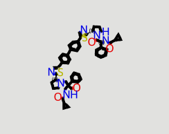 O=CC(CNC(=O)C1CC1)(CN1CCC[C@H]1c1ncc(-c2ccc(-c3ccc(-c4cnc([C@@H]5CCCN5C(=O)[C@H](NC(=O)C5CC5)c5ccccc5)s4)cc3)cc2)s1)c1ccccc1